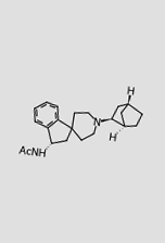 CC(=O)N[C@H]1CC2(CCN([C@H]3C[C@@H]4CC[C@@H]3C4)CC2)c2ccccc21